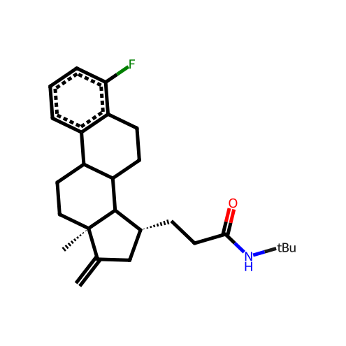 C=C1C[C@@H](CCC(=O)NC(C)(C)C)C2C3CCc4c(F)cccc4C3CC[C@]12C